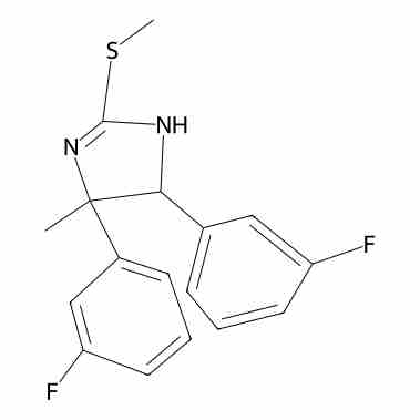 CSC1=NC(C)(c2cccc(F)c2)C(c2cccc(F)c2)N1